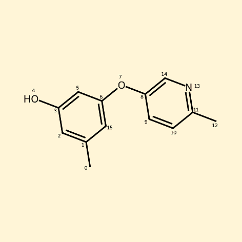 Cc1cc(O)cc(Oc2ccc(C)nc2)c1